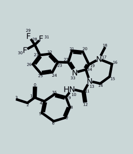 C=C(CC)C1=CCC=CC(NC(=C)N2CCCN(C)c3ccc(-c4cccc(C(F)(F)F)c4)nc32)=C1